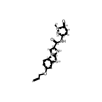 C=CCOc1ccc2c(c1)sc1nc(C(=O)Nc3ccc(=O)n(C)n3)cn12